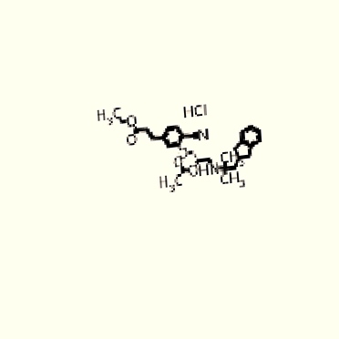 CCOC(=O)CCc1ccc(C#N)c(OC[C@H](CNC(C)(C)CC2Cc3ccccc3C2)OC(C)=O)c1.Cl